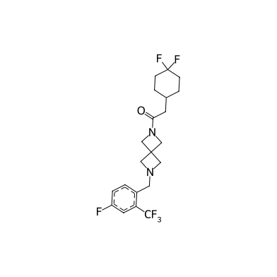 O=C(CC1CCC(F)(F)CC1)N1CC2(CN(Cc3ccc(F)cc3C(F)(F)F)C2)C1